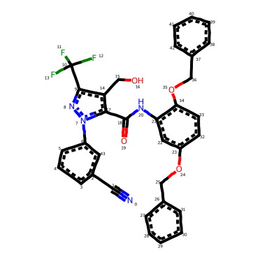 N#Cc1cccc(-n2nc(C(F)(F)F)c(CO)c2C(=O)Nc2cc(OCc3ccccc3)ccc2OCc2ccccc2)c1